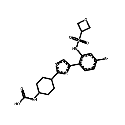 O=C(O)NC1CCC(c2ncc(-c3ccc(Br)cc3NS(=O)(=O)C3COC3)s2)CC1